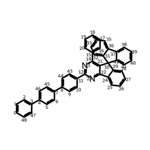 c1ccc(-c2ccc(-c3ccc(-c4nc(-c5ccccc5)c5c(n4)-c4ccccc4C54c5ccccc5-c5ccccc54)cc3)cc2)cc1